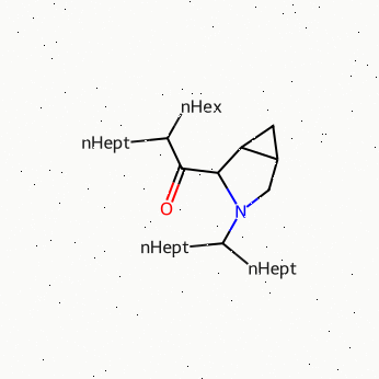 CCCCCCCC(CCCCCC)C(=O)C1C2CC2CN1C(CCCCCCC)CCCCCCC